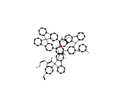 C=Cc1ccc(C2(/C(C)=C(C)/C=C\CC)c3ccccc3-c3ccc(N(c4ccc(C)c(F)c4)c4ccc5c(c4)C4(c6ccccc6-5)c5ccccc5-c5ccc(N(c6ccc(C)c(F)c6)c6ccc7c(c6)[C@](c6ccc(C)cc6)(c6cc(C)ccc6C)c6ccccc6-7)cc54)cc32)cc1